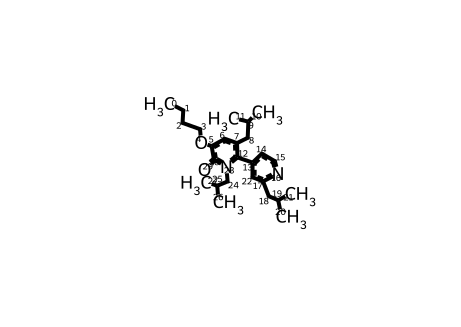 CCCCOc1cc(CC(C)C)c(-c2ccnc(CC(C)C)c2)n(CC(C)C)c1=O